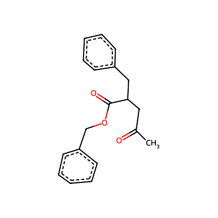 CC(=O)CC(Cc1ccccc1)C(=O)OCc1ccccc1